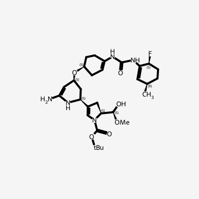 CO[C@H](O)[C@@H]1CC([C@@H]2C[C@H](O[C@@H]3CC=C(NC(=O)NC4=C[C@H](C)CC[C@@H]4F)CC3)C=C(N)N2)=CN1C(=O)OC(C)(C)C